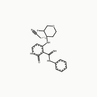 N#CC[C@@]1(Nc2cc[nH]c(=O)c2C(=N)Nc2ccccc2)CCOCC1F